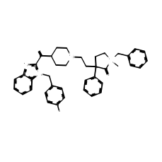 C[N+]1(Cc2ccccc2)CCC(CCN2CCC(C(=O)c3nc4ccccc4n3Cc3ccc(F)cc3)CC2)(c2ccccc2)C1=O